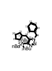 CCC[CH2][Sn]([CH2]CCC)([CH2]CCC)[c]1nnn(Cc2ccccc2)c1CC1CCCC1